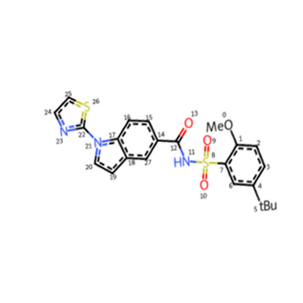 COc1ccc(C(C)(C)C)cc1S(=O)(=O)NC(=O)c1ccc2c(ccn2-c2nccs2)c1